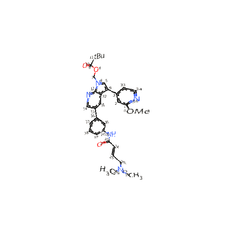 COc1cc(-c2cn(COC(=O)C(C)(C)C)c3ncc(-c4cccc(NC(=O)/C=C/CN(C)C)c4)cc23)ccn1